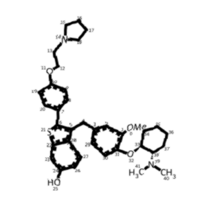 COc1cc(Cc2c(-c3ccc(OCCN4CCCC4)cc3)sc3cc(O)ccc23)ccc1O[C@H]1CCCC[C@@H]1N(C)C